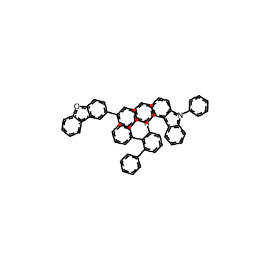 c1ccc(-c2ccccc2-c2c(-c3ccccc3)cccc2N(c2ccc(-c3ccc4oc5ccccc5c4c3)cc2)c2cccc3c2c2ccccc2n3-c2ccccc2)cc1